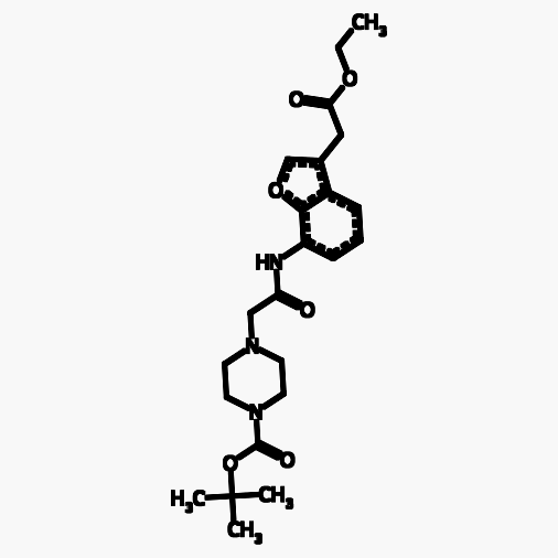 CCOC(=O)Cc1coc2c(NC(=O)CN3CCN(C(=O)OC(C)(C)C)CC3)cccc12